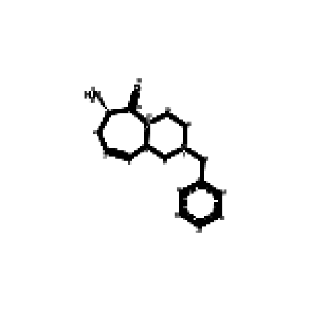 N[C@H]1CC=CC2CN(Cc3ccccc3)CCN2C1=O